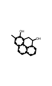 Cc1cc2ccc3cccc4c3c2c(c1O)CC4O